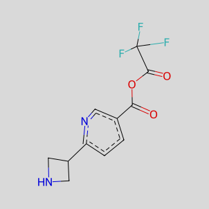 O=C(OC(=O)C(F)(F)F)c1ccc(C2CNC2)nc1